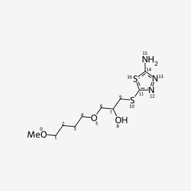 COCCCCOCC(O)CSc1nnc(N)s1